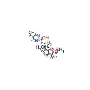 CCc1cnc(C(O)CCC(C)(C)c2cncc(C3(C(=O)OC)CC3)c2)nc1